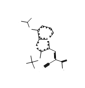 CC(C)Oc1cccn2c(/C=C(\C#N)C(=O)O)c(OC(C)(C)C)nc12